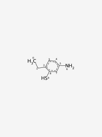 CCc1ccc(N)cc1S